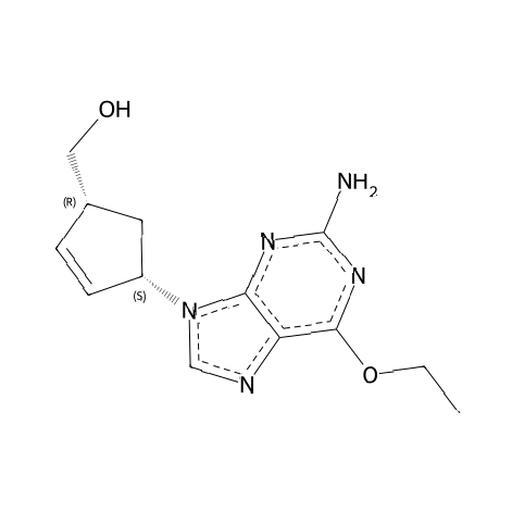 CCOc1nc(N)nc2c1ncn2[C@@H]1C=C[C@H](CO)C1